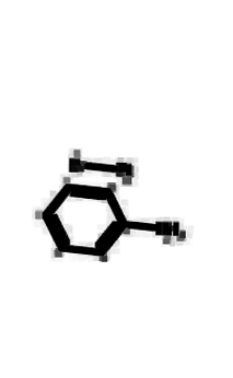 CCBr.Nc1ccccc1